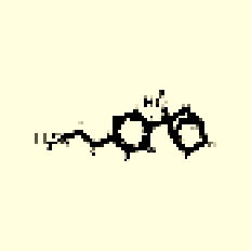 OC1(c2ccc(CC[SiH3])cc2)CC2CCC1C2